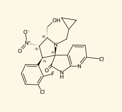 O=C1Nc2nc(Cl)ccc2[C@@]12[C@@H](c1cccc(Cl)c1F)[C@H]([N+](=O)[O-])[C@H](CO)N2CC1CC1